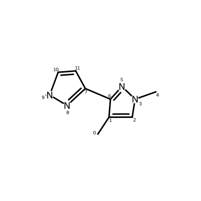 Cc1cn(C)nc1C1=N[N]C=C1